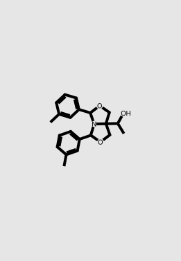 Cc1cccc(C2OCC3(C(C)O)COC(c4cccc(C)c4)N23)c1